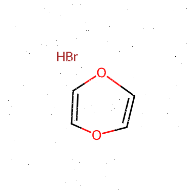 Br.C1=COC=CO1